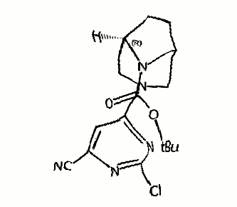 CC(C)(C)OC(=O)N1C2CC[C@@H]1CN(c1cc(C#N)nc(Cl)n1)C2